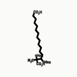 CCCCCCC(CCCCCCCCCCCCC(=O)O)C(C)(CCCCCC)C(=O)O